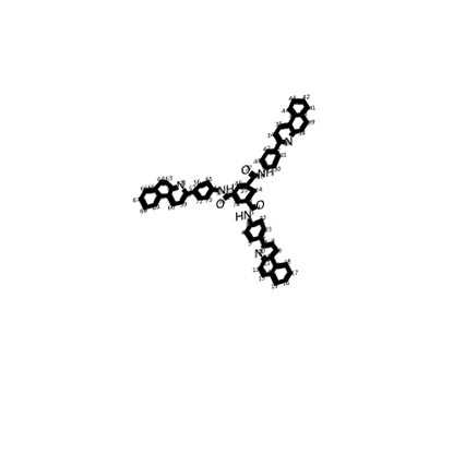 O=C(Nc1ccc(-c2ccc3c(ccc4ccccc43)n2)cc1)c1cc(C(=O)Nc2ccc(-c3ccc4c(ccc5ccccc54)n3)cc2)cc(C(=O)Nc2ccc(-c3ccc4c(ccc5ccccc54)n3)cc2)c1